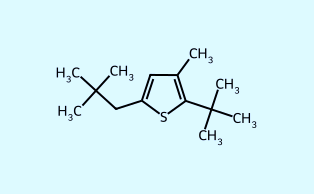 Cc1cc(CC(C)(C)C)sc1C(C)(C)C